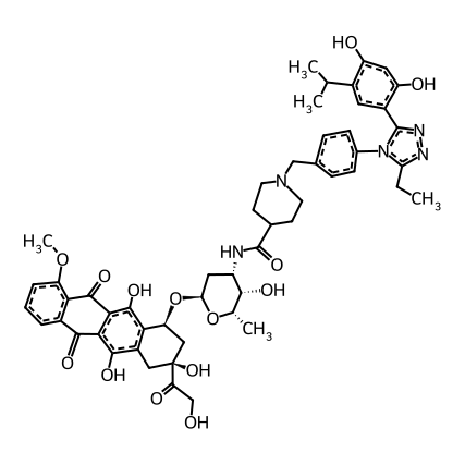 CCc1nnc(-c2cc(C(C)C)c(O)cc2O)n1-c1ccc(CN2CCC(C(=O)N[C@H]3C[C@H](O[C@H]4C[C@](O)(C(=O)CO)Cc5c(O)c6c(c(O)c54)C(=O)c4c(OC)cccc4C6=O)O[C@@H](C)[C@H]3O)CC2)cc1